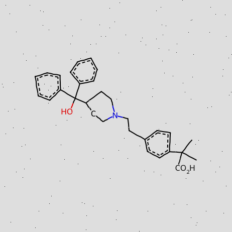 CC(C)(C(=O)O)c1ccc(CCN2CCC(C(O)(c3ccccc3)c3ccccc3)CC2)cc1